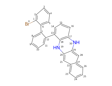 Brc1ccccc1-c1ccccc1-c1cccc2c1Nc1cc3ccccc3cc1N2